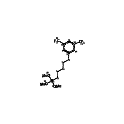 CO[Si](CCCCCc1cc(C(F)(F)F)cc(C(F)(F)F)c1)(OC)OC